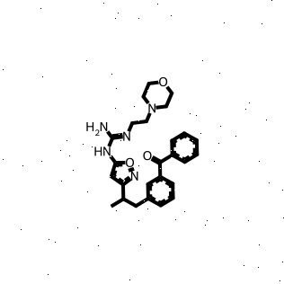 CC(Cc1cccc(C(=O)c2ccccc2)c1)c1cc(NC(N)=NCCN2CCOCC2)on1